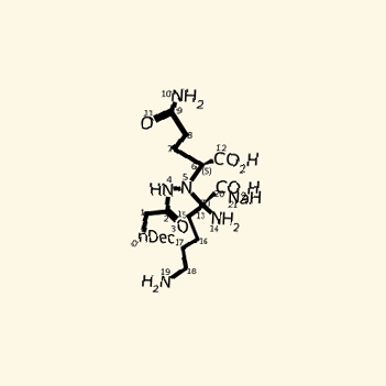 CCCCCCCCCCCC(=O)NN([C@@H](CCC(N)=O)C(=O)O)[C@](N)(CCCCN)C(=O)O.[NaH]